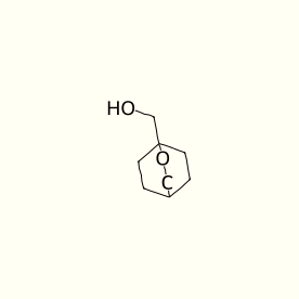 OCC12CCC(CC1)CO2